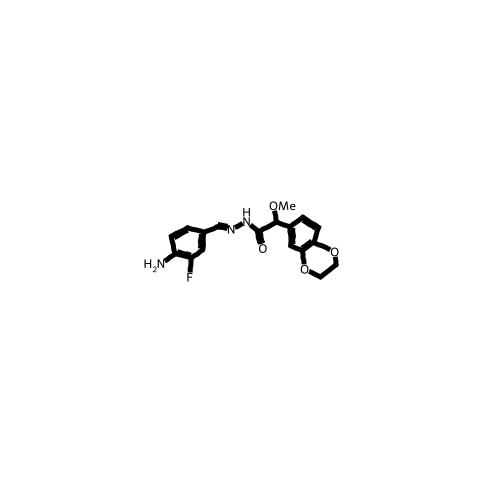 COC(C(=O)N/N=C/c1ccc(N)c(F)c1)c1ccc2c(c1)OCCO2